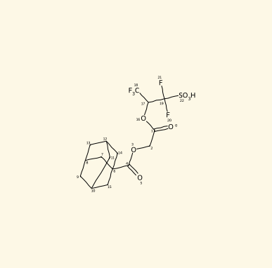 O=C(COC(=O)C12CC3CC(CC(C3)C1)C2)OC(C(F)(F)F)C(F)(F)S(=O)(=O)O